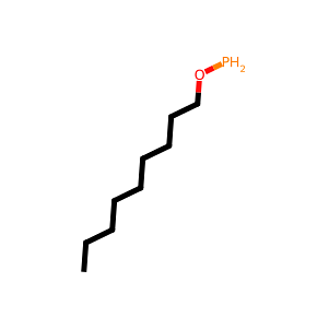 CCCCCCCCCOP